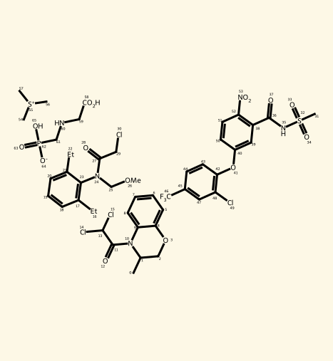 CC1COc2ccccc2N1C(=O)C(Cl)Cl.CCc1cccc(CC)c1N(COC)C(=O)CCl.CS(=O)(=O)NC(=O)c1cc(Oc2ccc(C(F)(F)F)cc2Cl)ccc1[N+](=O)[O-].C[S+](C)C.O=C(O)CNCP(=O)([O-])O